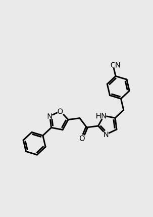 N#Cc1ccc(Cc2cnc(C(=O)Cc3cc(-c4ccccc4)no3)[nH]2)cc1